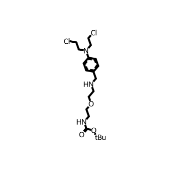 CC(C)(C)OC(=O)NCCOCCNCc1ccc(N(CCCl)CCCl)cc1